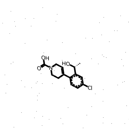 C[C@@H](O)c1cc(Cl)ccc1C1=CCN(C(=O)O)CC1